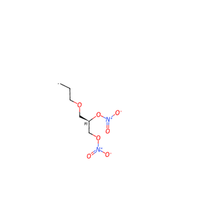 [CH2]CCOC[C@H](CO[N+](=O)[O-])O[N+](=O)[O-]